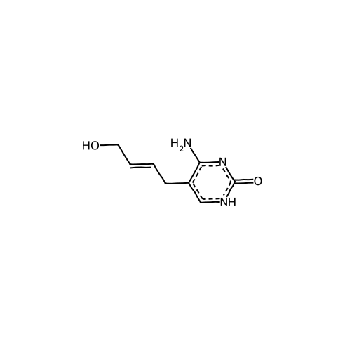 Nc1nc(=O)[nH]cc1CC=CCO